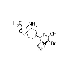 Cc1nc(N2CCC3(CC2)CO[C@@H](C)[C@H]3N)c2cncn2c1Br